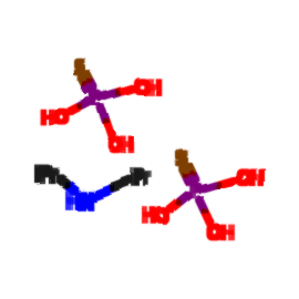 CC(C)NC(C)C.OP(O)(O)=S.OP(O)(O)=S